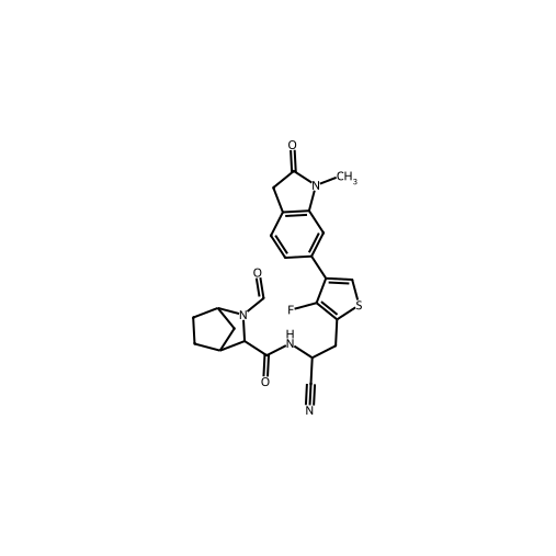 CN1C(=O)Cc2ccc(-c3csc(CC(C#N)NC(=O)C4C5CCC(C5)N4C=O)c3F)cc21